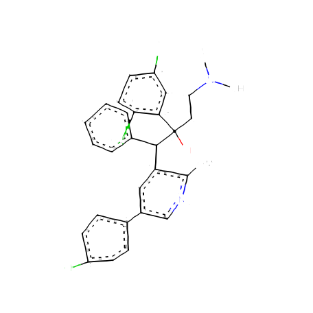 COc1ncc(-c2ccc(Cl)cc2)cc1C(c1ccccc1)C(O)(CCN(C)C)c1cc(Cl)ccc1Cl